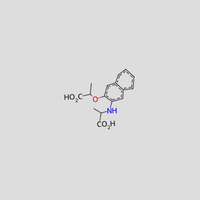 CC(Nc1cc2ccccc2cc1OC(C)C(=O)O)C(=O)O